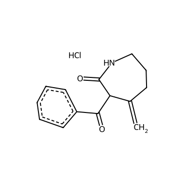 C=C1CCCNC(=O)C1C(=O)c1ccccc1.Cl